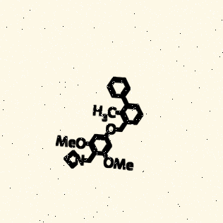 COc1cc(OCc2cccc(-c3ccccc3)c2C)cc(OC)c1CN1CCC1